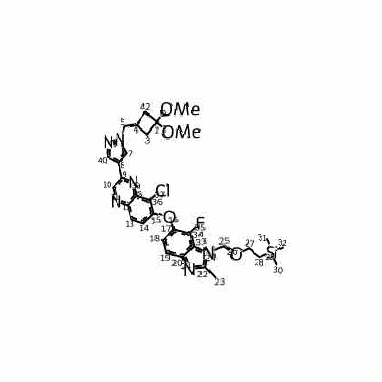 COC1(OC)CC(Cn2cc(-c3cnc4ccc(Oc5ccc6nc(C)n(COCC[Si](C)(C)C)c6c5F)c(Cl)c4n3)cn2)C1